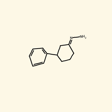 NN=C1CCCC(c2ccccc2)C1